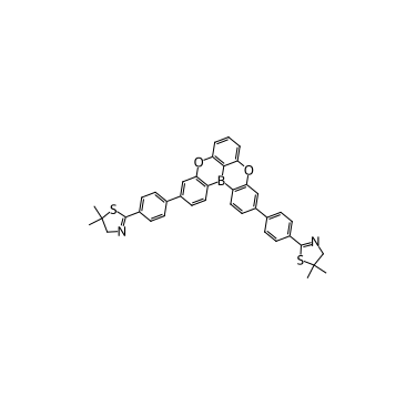 CC1(C)CN=C(c2ccc(-c3ccc4c(c3)Oc3cccc5c3B4c3ccc(-c4ccc(C6=NCC(C)(C)S6)cc4)cc3O5)cc2)S1